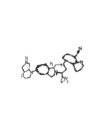 C[C@@H]1CN(c2ccc(C#N)c3ncccc23)C[C@@H]2c3ccc(N4CCOC5CNCC54)cc3CN12